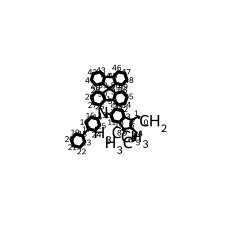 C=CC1=C(/C=C\C)C(C)(C)c2cc(N(c3ccc(-c4ccccc4)cc3)c3cccc4c3-c3ccccc3C43c4ccccc4-c4ccccc43)ccc21